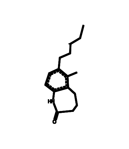 CC[CH]CCc1ccc2c(c1C)CCCC(=O)N2